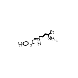 CCC(N)CCCNCC(=O)O